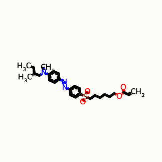 C=CC(=O)OCCCCCCS(=O)(=O)c1ccc(N=Nc2ccc(N(C)C[C@H](C)CC)cc2)cc1